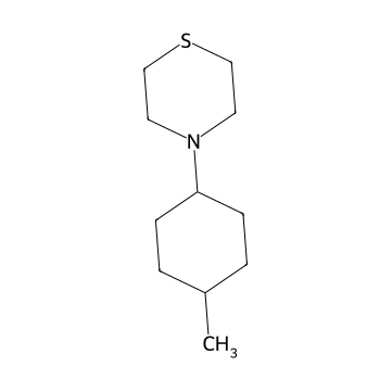 CC1CCC(N2CCSCC2)CC1